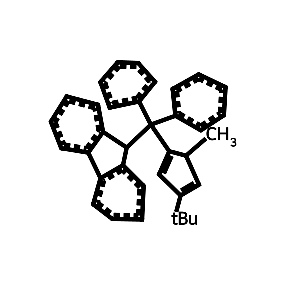 CC1C=C(C(C)(C)C)C=C1C(c1ccccc1)(c1ccccc1)C1c2ccccc2-c2ccccc21